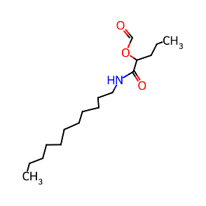 CCCCCCCCCCCNC(=O)C(CCC)OC=O